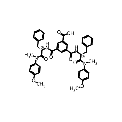 COc1ccc(N(C)C(=O)[C@H](Cc2ccccc2)NC(=O)c2cc(C(=O)O)cc(C(=O)N[C@@H](Cc3ccccc3)C(=O)N(C)c3ccc(OC)cc3)c2)cc1